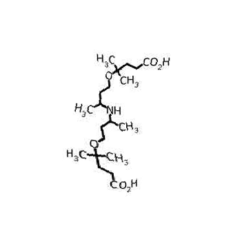 CC(CCOC(C)(C)CCC(=O)O)NC(C)CCOC(C)(C)CCC(=O)O